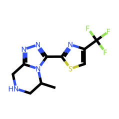 CC1CNCc2nnc(-c3nc(C(F)(F)F)cs3)n21